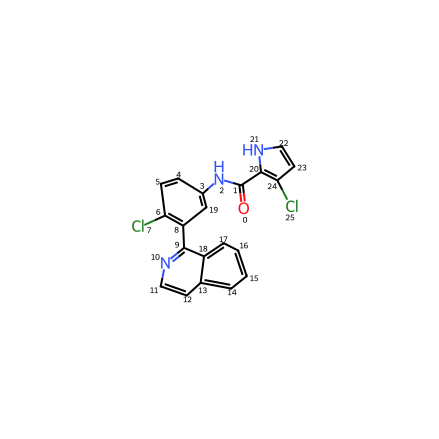 O=C(Nc1ccc(Cl)c(-c2nccc3ccccc23)c1)c1[nH]ccc1Cl